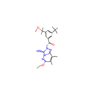 CCOc1nn2c(=N)n(CC(=O)c3cc(C(C)(C)C)cc(C(C)(C)OC)c3)nc2c(C)c1C